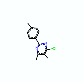 Cc1ccc(-c2nc(C)c(C)c(Cl)n2)cc1